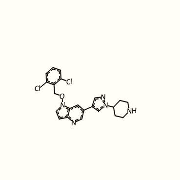 Clc1cccc(Cl)c1COn1ccc2ncc(-c3cnn(C4CCNCC4)c3)cc21